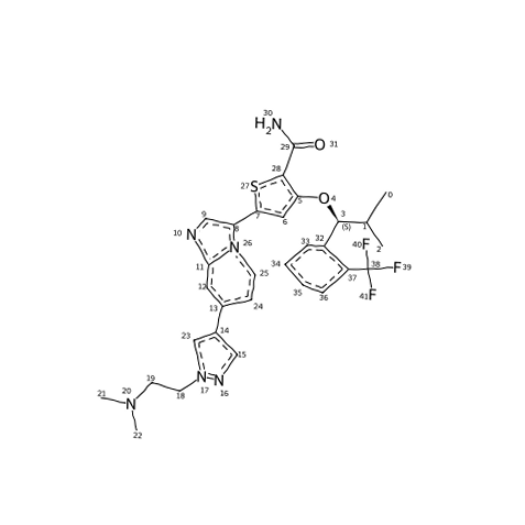 CC(C)[C@H](Oc1cc(-c2cnc3cc(-c4cnn(CCN(C)C)c4)ccn23)sc1C(N)=O)c1ccccc1C(F)(F)F